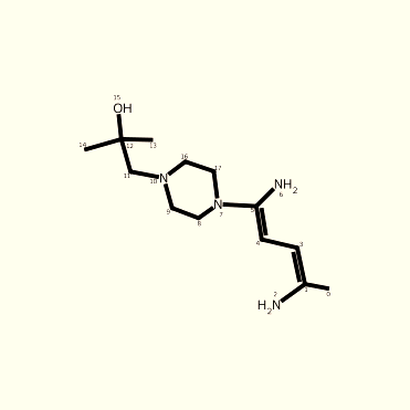 C/C(N)=C/C=C(\N)N1CCN(CC(C)(C)O)CC1